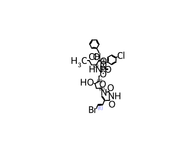 CC(C)C[C@H](NP(=O)(OC[C@H]1O[C@@H](n2cc(/C=C/Br)c(=O)[nH]c2=O)CC1O)Oc1ccc(Cl)cc1)C(=O)OCc1ccccc1